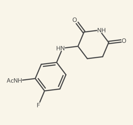 CC(=O)Nc1cc(NC2CCC(=O)NC2=O)ccc1F